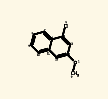 COc1cc(Cl)c2ccccc2c1